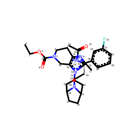 CCOC(=O)N1CCc2nc(C)n(C3CC4CCC(C3)N4CC[C@H](NC(C)=O)c3cccc(F)c3)c2C1